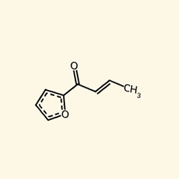 C/C=C/C(=O)c1ccco1